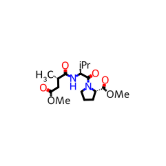 COC(=O)C[C@H](C)C(=O)N[C@H](C(=O)N1CCC[C@H]1C(=O)OC)C(C)C